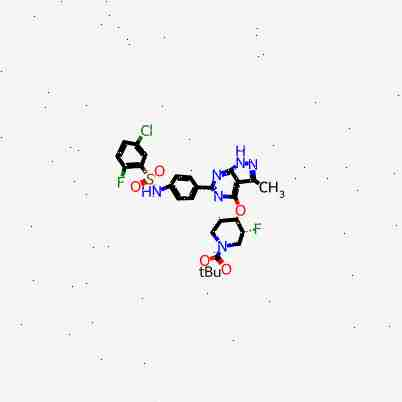 Cc1n[nH]c2nc(-c3ccc(NS(=O)(=O)c4cc(Cl)ccc4F)cc3)nc(O[C@H]3CCN(C(=O)OC(C)(C)C)C[C@H]3F)c12